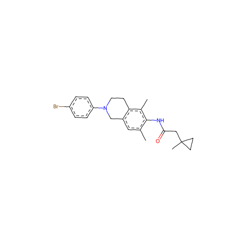 Cc1cc2c(c(C)c1NC(=O)CC1(C)CC1)CCN(c1ccc(Br)cc1)C2